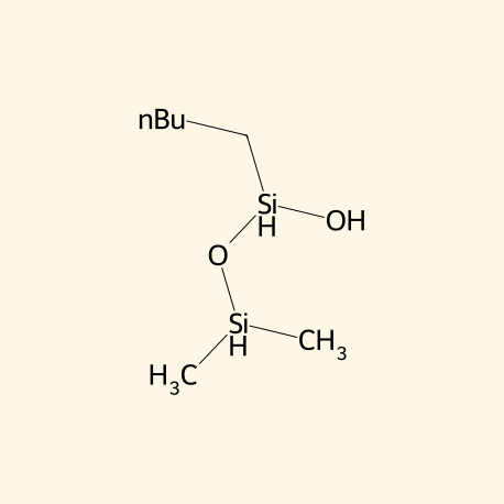 CCCCC[SiH](O)O[SiH](C)C